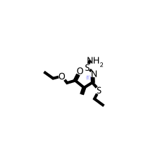 C=C(C(=O)COCC)/C(=N\SN)SCC